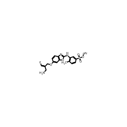 CCCOS(=O)(=O)c1ccc(C)c(Nc2nc3ccc(OC/C(=C\F)CN)cc3o2)c1